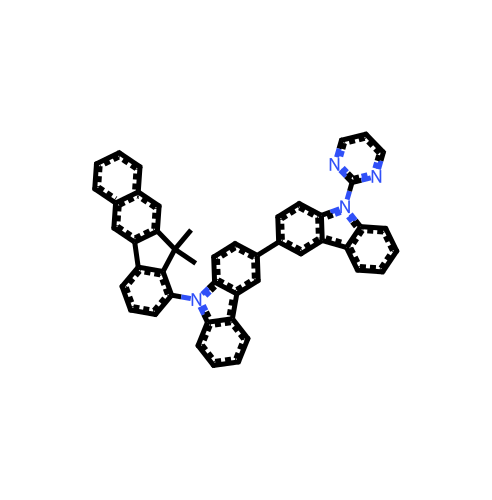 CC1(C)c2cc3ccccc3cc2-c2cccc(-n3c4ccccc4c4cc(-c5ccc6c(c5)c5ccccc5n6-c5ncccn5)ccc43)c21